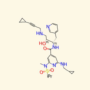 CC(C)S(=O)(=O)N(C)c1cc(C(=O)N[C@@H](Cc2cccnc2)[C@H](O)CNCC#CC2CC2)cc(NCC2CC2)n1